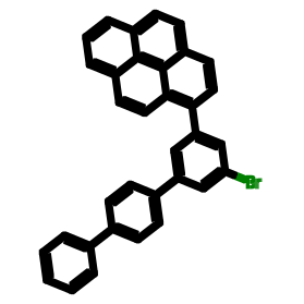 Brc1cc(-c2ccc(-c3ccccc3)cc2)cc(-c2ccc3ccc4cccc5ccc2c3c45)c1